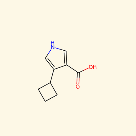 O=C(O)c1c[nH]cc1C1CCC1